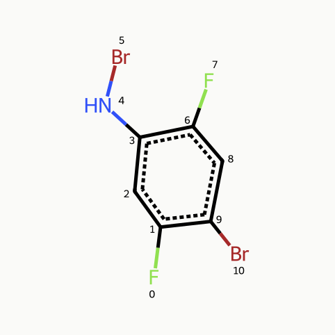 Fc1cc(NBr)c(F)cc1Br